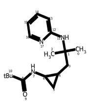 CC(C)(CC1CC1NC(=O)C(C)(C)C)Nc1ccccn1